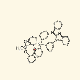 C[Si]1(C)Oc2ccccc2Oc2c1cccc2[Si](c1ccccc1)(c1ccccc1)c1cccc(-n2c3ccccc3n3c4ccccc4nc23)c1